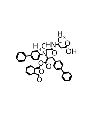 C[C@H](CC(=O)O)NC(=O)[C@H](C)N(c1ccc(-c2ccccc2)cc1)C(Cc1ccc(-c2ccccc2)cc1)C(=O)OC1=C2C=CC=CC2C(=O)O1